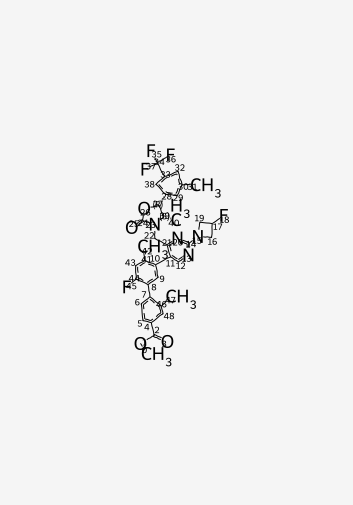 COC(=O)c1ccc(-c2cc(-c3cnc(N4CC(F)C4)nc3CN3C(=O)O[C@H](c4cc(C)cc(C(F)(F)F)c4)[C@@H]3C)c(C)cc2F)c(C)c1